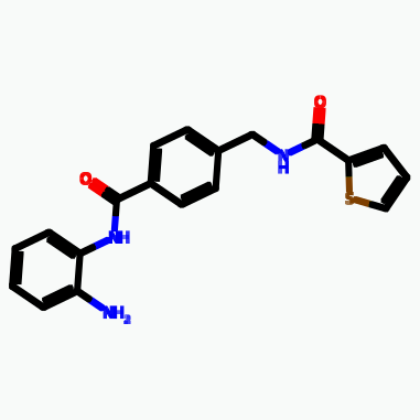 Nc1ccccc1NC(=O)c1ccc(CNC(=O)c2cccs2)cc1